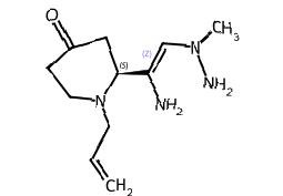 C=CCN1CCC(=O)C[C@H]1/C(N)=C/N(C)N